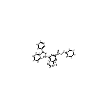 c1ccc(C(CNc2nc(NCCN3CCCCC3)nc3[nH]cnc23)c2ccccc2)cc1